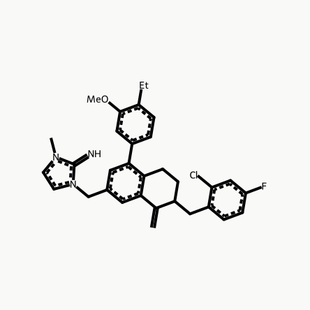 C=C1c2cc(Cn3ccn(C)c3=N)cc(-c3ccc(CC)c(OC)c3)c2CCC1Cc1ccc(F)cc1Cl